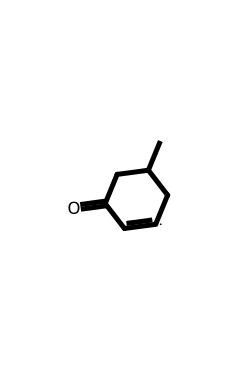 CC1C[C]=CC(=O)C1